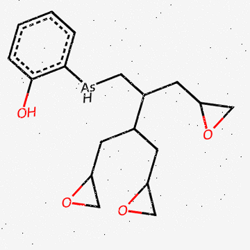 Oc1ccccc1[AsH]CC(CC1CO1)C(CC1CO1)CC1CO1